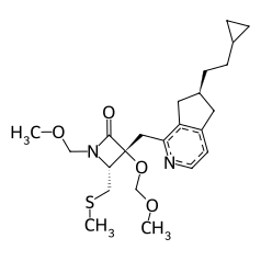 COCO[C@@]1(Cc2nccc3c2C[C@@H](CCC2CC2)C3)C(=O)N(COC)[C@H]1CSC